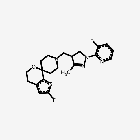 CC1=NN(c2ncccc2F)CC1CN1CCC2(CC1)OCCc1cc(F)sc12